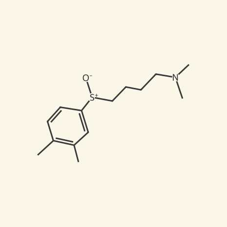 Cc1ccc([S+]([O-])CCCCN(C)C)cc1C